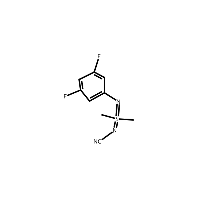 CS(C)(=NC#N)=Nc1cc(F)cc(F)c1